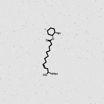 CCCCCC[C@@H](O)C/C=C\CCCCCCCC(=O)O[C@@H]1C[C@H](C)CC[C@H]1C(C)C